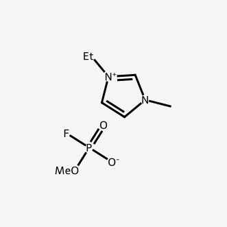 CC[n+]1ccn(C)c1.COP(=O)([O-])F